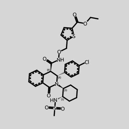 CCOC(=O)c1ccc(CONC(=O)[C@@H]2c3ccccc3C(=O)N([C@H]3CCCC[C@@H]3NS(C)(=O)=O)[C@H]2c2ccc(Cl)cc2)s1